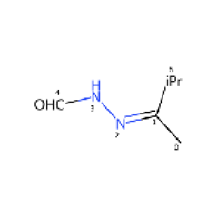 C/C(=N/NC=O)C(C)C